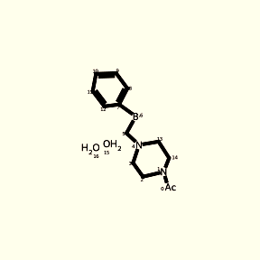 CC(=O)N1CCN(C[B]c2ccccc2)CC1.O.O